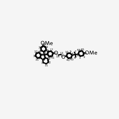 COc1ccc(C(C)(C)c2ccc(OCCOc3ccc(C4(c5ccc(OC)cc5)C5=C(CCC=C5)c5ccccc54)cc3)cc2)cc1